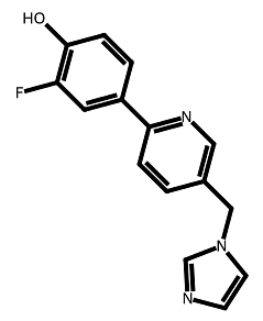 Oc1ccc(-c2ccc(Cn3ccnc3)cn2)cc1F